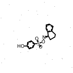 O=S(=O)(ON=C1CCCc2ccccc21)c1ccc(O)cc1